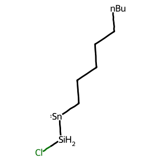 CCCCCCCC[CH2][Sn][SiH2]Cl